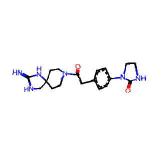 N=C1NCC2(CCN(C(=O)Cc3ccc(N4CCNC4=O)cc3)CC2)N1